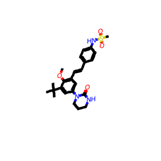 COc1c(/C=C/c2ccc(NS(C)(=O)=O)cc2)cc(N2CCCNC2=O)cc1C(C)(C)C